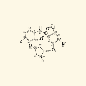 COc1cc(S(=O)(=O)Nc2ccc(C)c(OC3CCN(C)C3)c2)c(Cl)cc1Br